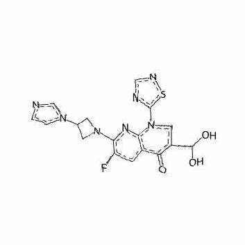 O=c1c(C(O)O)cn(-c2ncns2)c2nc(N3CC(n4ccnc4)C3)c(F)cc12